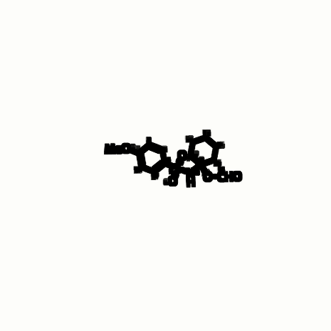 COc1ccc(S(=O)(=O)NC2(OC=O)CCCCC2)cc1